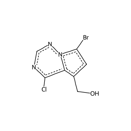 OCc1cc(Br)n2ncnc(Cl)c12